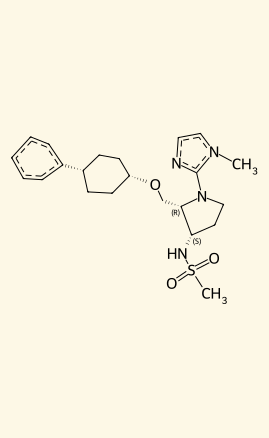 Cn1ccnc1N1CC[C@H](NS(C)(=O)=O)[C@@H]1CO[C@H]1CC[C@@H](c2ccccc2)CC1